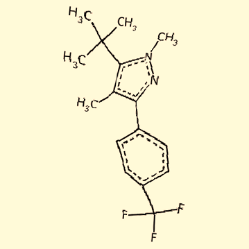 Cc1c(-c2ccc(C(F)(F)F)cc2)nn(C)c1C(C)(C)C